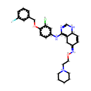 Fc1cccc(COc2ccc(NC3=C4CC(=NOCCN5CCCCC5)C=CC4NC=N3)cc2Cl)c1